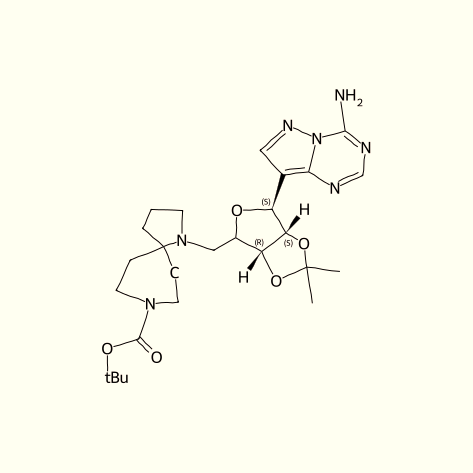 CC(C)(C)OC(=O)N1CCC2(CCCN2CC2O[C@@H](c3cnn4c(N)ncnc34)[C@@H]3OC(C)(C)O[C@H]23)CC1